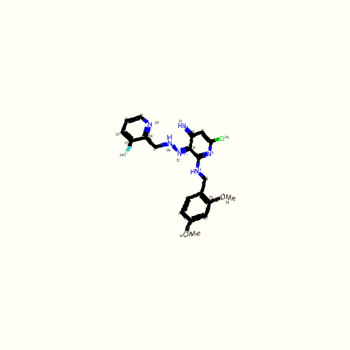 COc1ccc(CNC2=NC(Cl)=CC(=N)/C2=N\NCc2ncccc2F)c(OC)c1